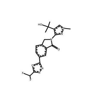 Cn1cc(C(C)(C)O)c(N2Cc3ccc(-c4nnc(C(F)F)o4)cc3C2=O)n1